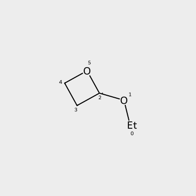 [CH2]CO[C]1CCO1